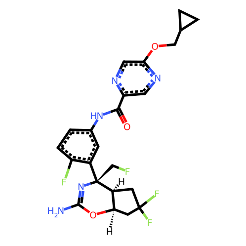 NC1=N[C@](CF)(c2cc(NC(=O)c3cnc(OCC4CC4)cn3)ccc2F)[C@H]2CC(F)(F)C[C@H]2O1